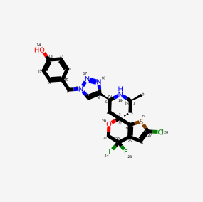 C[C@H]1C[C@@]2(C[C@@H](c3cn(Cc4ccc(O)cc4)nn3)N1)OCC(F)(F)c1cc(Cl)sc12